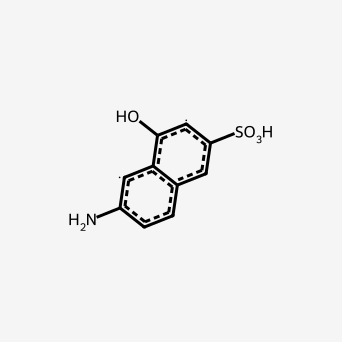 Nc1[c]c2c(O)[c]c(S(=O)(=O)O)cc2cc1